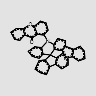 O=c1c2ccccc2oc2cccc(N3c4ccccc4C4(c5ccccc5-c5ccccc54)c4c3ccc3c4oc4ccccc43)c12